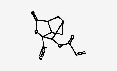 [C-]#[N+]C12OC(=O)C3CC(CC31)C2OC(=O)C=C